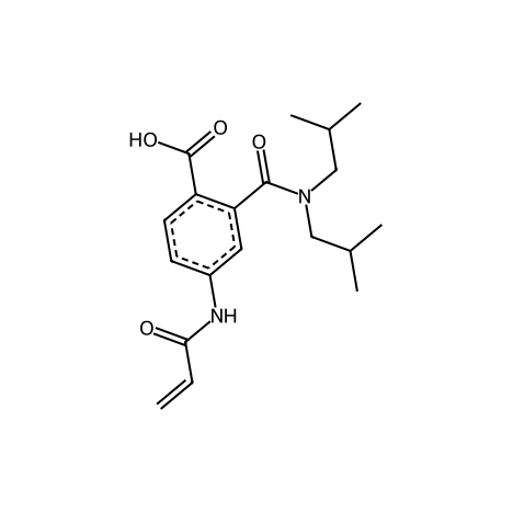 C=CC(=O)Nc1ccc(C(=O)O)c(C(=O)N(CC(C)C)CC(C)C)c1